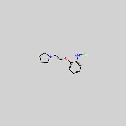 ClNc1ccccc1OCCN1CCCC1